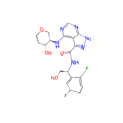 O=C(N[C@H](CO)C1=CC(F)CC=C1F)c1n[nH]c2ncnc(N[C@@H]3COCC[C@H]3O)c12